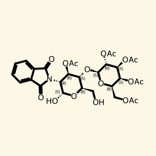 CC(=O)OC[C@H]1O[C@@H](O[C@H]2[C@H](OC(C)=O)[C@@H](N3C(=O)c4ccccc4C3=O)[C@@H](O)O[C@@H]2CO)[C@H](OC(C)=O)[C@@H](OC(C)=O)[C@H]1OC(C)=O